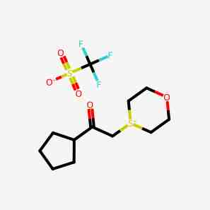 O=C(C[S+]1CCOCC1)C1CCCC1.O=S(=O)([O-])C(F)(F)F